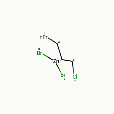 [Br][Zn][Br].[CH2]CCCCCCl